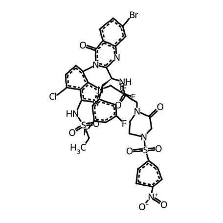 CCS(=O)(=O)Nc1nn(CC(F)(F)F)c2c(-n3c([C@H](Cc4cc(F)cc(F)c4)NC(=O)CN4CCN(S(=O)(=O)c5ccc([N+](=O)[O-])cc5)CC4=O)nc4cc(Br)ccc4c3=O)ccc(Cl)c12